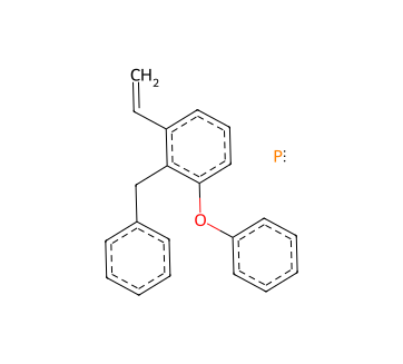 C=Cc1cccc(Oc2ccccc2)c1Cc1ccccc1.[P]